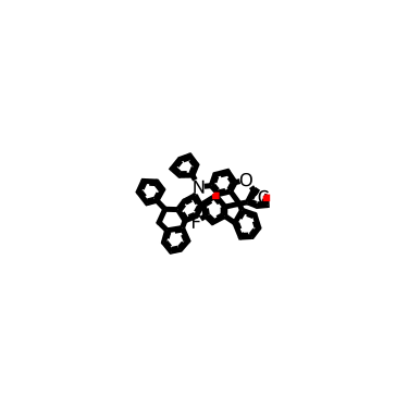 Fc1ccc2c(c1)-c1ccccc1C21c2ccccc2Oc2ccc(N(c3ccccc3)c3ccc4c(c3)C(c3ccccc3)Cc3ccccc3-4)cc21